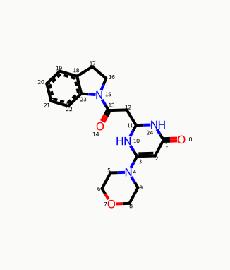 O=C1C=C(N2CCOCC2)NC(CC(=O)N2CCc3ccccc32)N1